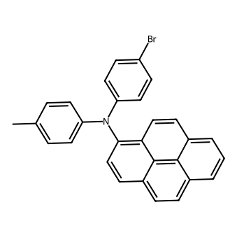 Cc1ccc(N(c2ccc(Br)cc2)c2ccc3ccc4cccc5ccc2c3c45)cc1